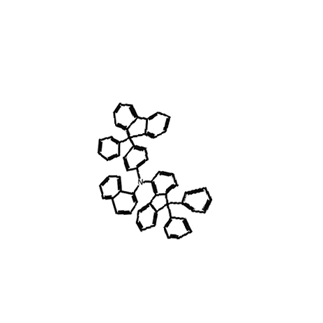 c1ccc(C2(c3ccc(N(c4cccc5c4-c4ccccc4C5(c4ccccc4)c4ccccc4)c4cccc5ccccc45)cc3)c3ccccc3-c3ccccc32)cc1